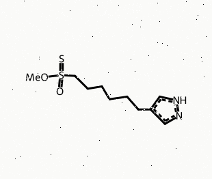 COS(=O)(=S)CCCCCCc1cn[nH]c1